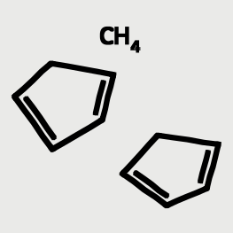 C.C1=CCC=C1.C1=CCC=C1